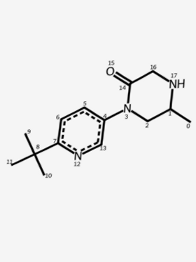 CC1CN(c2ccc(C(C)(C)C)nc2)C(=O)CN1